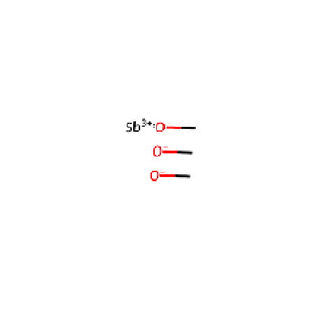 C[O-].C[O-].C[O-].[Sb+3]